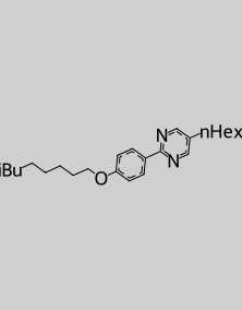 CCCCCCc1cnc(-c2ccc(OCCCCCC(C)CC)cc2)nc1